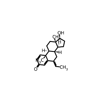 CC=C1C[C@H]2[C@@H]3CC[C@H](O)[C@@]3(C)CC[C@@H]2[C@@]2(C)C=CC(=O)C=C12